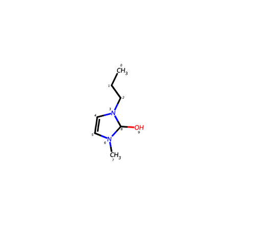 CCCN1C=CN(C)C1O